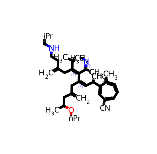 C=C(CCNCC(C)C)C/C(C(=C)C)=C(C(=C/C(C)C1=CC(C#N)=CC=C=C1C)\CC(=C)CC(C)OCCC)/C(C)=N\C